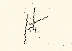 CCCCCCCCN(CCCCCCCC)C(=O)CN(CC(=O)O)CC(=O)N(CCCCCCCC)CCCCCCCC